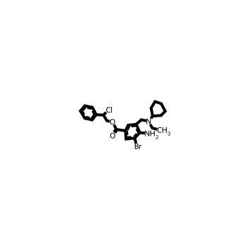 CCN(Cc1cc(C(=O)OCC(Cl)c2ccccc2)cc(Br)c1N)C1CCCCC1